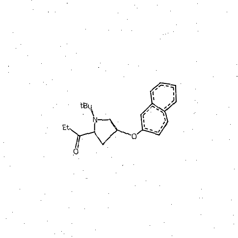 CCC(=O)C1CC(Oc2ccc3ccccc3c2)CN1C(C)(C)C